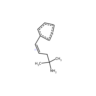 CC(C)(N)C/C=C\c1cccnc1